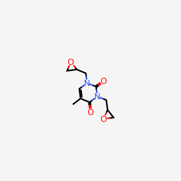 Cc1cn(CC2CO2)c(=O)n(CC2CO2)c1=O